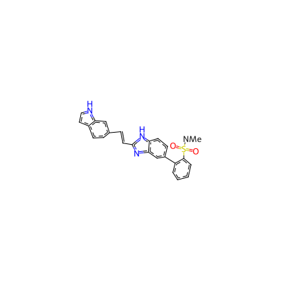 CNS(=O)(=O)c1ccccc1-c1ccc2[nH]c(/C=C/c3ccc4cc[nH]c4c3)nc2c1